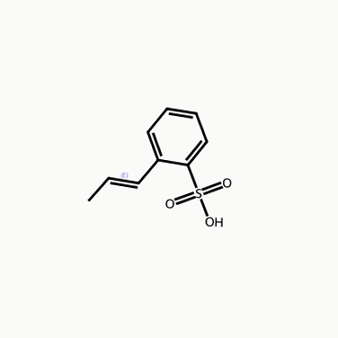 C/C=C/c1ccccc1S(=O)(=O)O